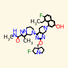 CCc1c(F)ccc2cc(O)cc(N3CCc4c(nc(OC[C@@]56CCCN5C[C@H](F)C6)nc4N4CCCn5nc(C(=O)NC)c(C)c5C4)C3)c12